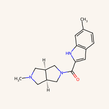 Cc1ccc2cc(C(=O)N3C[C@H]4CN(C)C[C@H]4C3)[nH]c2c1